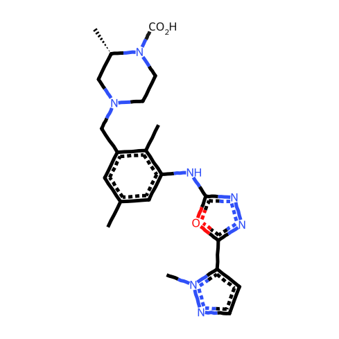 Cc1cc(CN2CCN(C(=O)O)[C@@H](C)C2)c(C)c(Nc2nnc(-c3ccnn3C)o2)c1